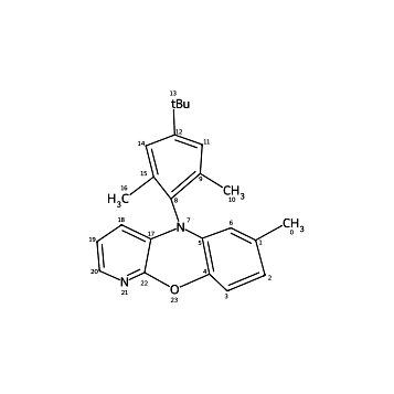 Cc1ccc2c(c1)N(c1c(C)cc(C(C)(C)C)cc1C)c1cccnc1O2